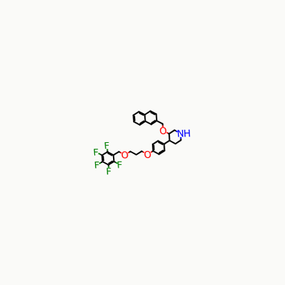 Fc1c(F)c(F)c(COCCCOc2ccc(C3CCNCC3OCc3ccc4ccccc4c3)cc2)c(F)c1F